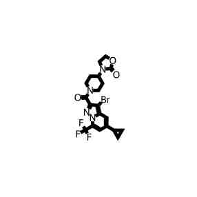 O=C(c1nn2c(C(F)(F)F)cc(C3CC3)cc2c1Br)N1CCC(N2CCOC2=O)CC1